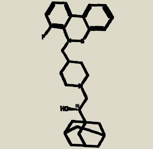 O[C@H](CN1CCC(CN2Sc3ccccc3-c3cccc(F)c32)CC1)C12CC3CC(CC(C3)C1)C2